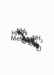 CNC(=O)C(CCCCNC(=N)N)NC(=O)c1csc([C@@H]2C[C@@H](N)CN2C(=O)c2cn3cc(Cl)ccc3n2)n1